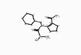 CN(C#N)C(=O)[C@@H](CC1CCCCC1)C1=C(C(N)=O)CCC1